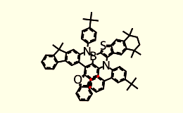 CC(C)(C)c1ccc(N2B3c4sc5cc6c(cc5c4N(c4ccc(C(C)(C)C)cc4-c4ccccc4)c4cc5c(oc7ccccc75)c(c43)-c3cc4c(cc32)C(C)(C)c2ccccc2-4)C(C)(C)CCC6(C)C)cc1